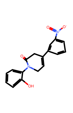 O=C1CC(c2cccc([N+](=O)[O-])c2)=CCN1c1ccccc1O